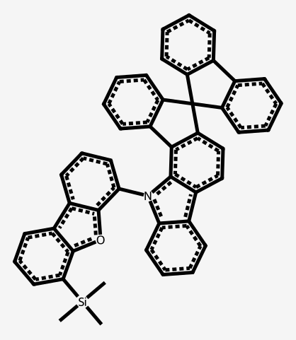 C[Si](C)(C)c1cccc2c1oc1c(-n3c4ccccc4c4ccc5c(c43)-c3ccccc3C53c4ccccc4-c4ccccc43)cccc12